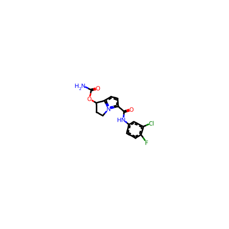 NC(=O)OC1CCn2c(C(=O)Nc3ccc(F)c(Cl)c3)ccc21